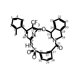 Cc1ccccc1-c1nc2nc(c1C(F)(F)F)OC1CN(Cc3ccccc31)C(=O)c1cccc(c1)S(=O)(=O)N2